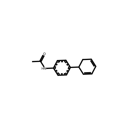 CC(=O)Nc1ccc(C2C=[C]C=CC2)cc1